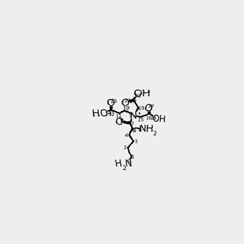 NCCCC[C@H](N)C(=O)[N+](CCC(=O)O)(CC(=O)O)CC(=O)O